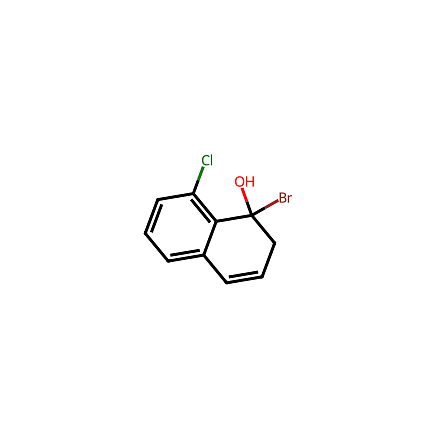 OC1(Br)CC=Cc2cccc(Cl)c21